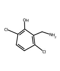 NCc1c(Cl)ccc(Cl)c1O